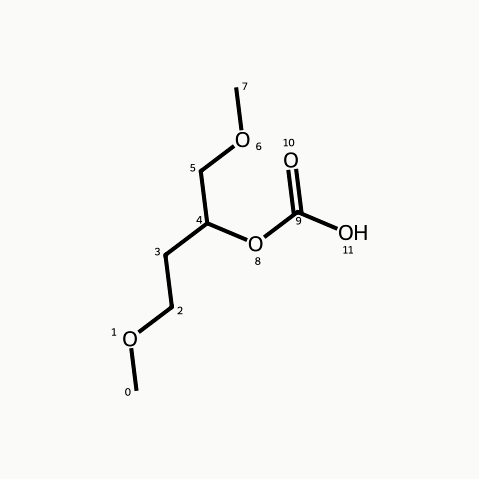 COCCC(COC)OC(=O)O